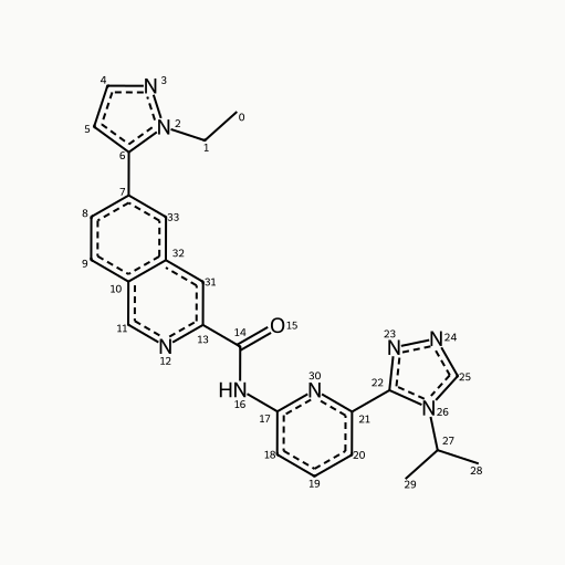 CCn1nccc1-c1ccc2cnc(C(=O)Nc3cccc(-c4nncn4C(C)C)n3)cc2c1